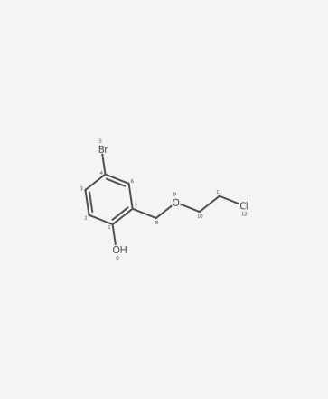 Oc1ccc(Br)cc1COCCCl